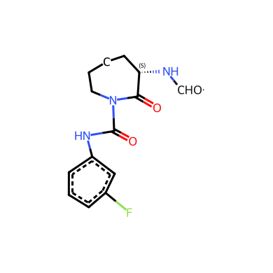 O=[C]N[C@H]1CCCCN(C(=O)Nc2cccc(F)c2)C1=O